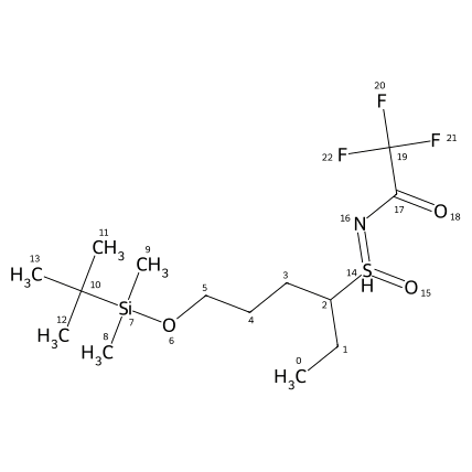 CCC(CCCO[Si](C)(C)C(C)(C)C)/[SH](=O)=N/C(=O)C(F)(F)F